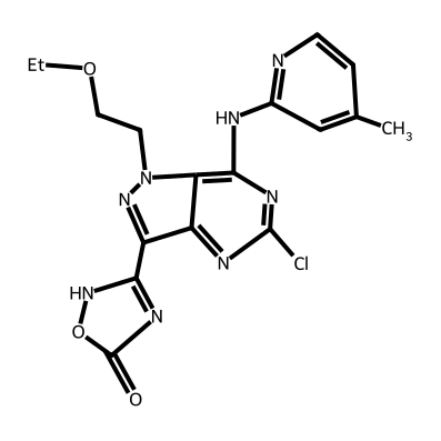 CCOCCn1nc(-c2nc(=O)o[nH]2)c2nc(Cl)nc(Nc3cc(C)ccn3)c21